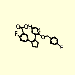 O=C(O)c1cc(C2=C(c3cccnc3OCc3ccc(F)cc3)CCC2)ccc1F